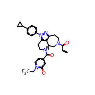 C=CC(=O)N1CCc2nn(-c3ccc(C4CC4)cc3)c3c2[C@@H](C1)N(C(=O)c1ccn(CC(F)(F)F)c(=O)c1)CC3